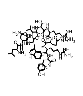 CC(C)C[C@H](N)C(=O)N[C@@H](CC(N)=O)C(=O)N[C@@H](Cc1c[nH]c2ccccc12)C(=O)N[C@H](C(=O)N[C@H](C(=O)N[C@@H](CCCNC(=N)N)C(=O)N[C@@H](CCC(N)=O)C(=O)N(C)[C@@H](CCCNC(=N)N)C(=O)N[C@@H](Cc1ccc(O)cc1)C(N)=O)[C@@H](C)O)C(C)C